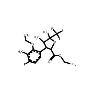 CCOC(=O)C1OC(C)(C(F)(F)F)C(C)C1c1ccc(F)c(C)c1OCC